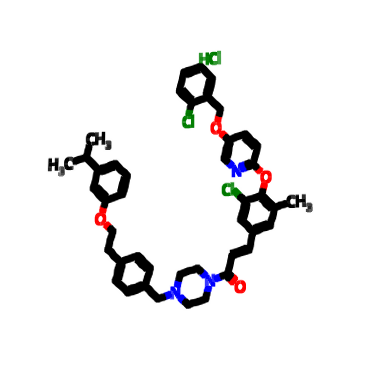 Cc1cc(/C=C/C(=O)N2CCN(Cc3ccc(CCOc4cccc(C(C)C)c4)cc3)CC2)cc(Cl)c1Oc1ccc(OCc2ccccc2Cl)cn1.Cl